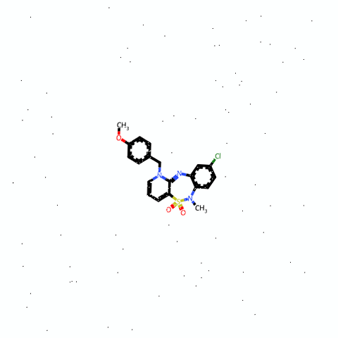 COc1ccc(CN2C=CC=C3C2=Nc2cc(Cl)ccc2N(C)S3(=O)=O)cc1